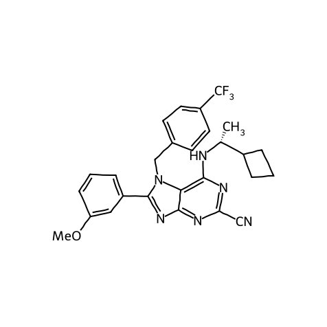 COc1cccc(-c2nc3nc(C#N)nc(N[C@H](C)C4CCC4)c3n2Cc2ccc(C(F)(F)F)cc2)c1